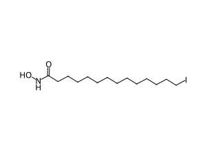 O=C(CCCCCCCCCCCCCI)NO